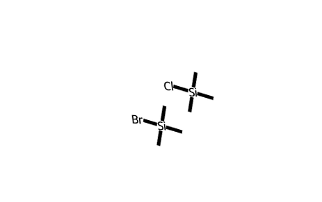 C[Si](C)(C)Br.C[Si](C)(C)Cl